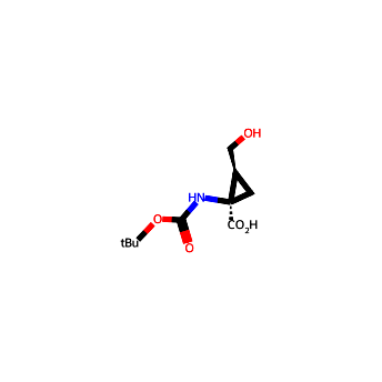 CC(C)(C)OC(=O)N[C@]1(C(=O)O)C[C@@H]1CO